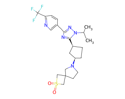 CC(C)n1nc(-c2ccc(C(F)(F)F)nc2)nc1[C@H]1CC[C@@H](N2CCC3(C2)CS(=O)(=O)C3)C1